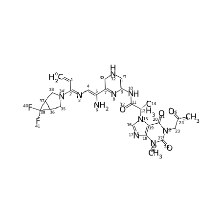 C=C/C(=N\C=C(/N)C1=NC(NC(=O)[C@H](C)n2cnc3c2c(=O)n(CC(C)=O)c(=O)n3C)=CNC1)N1CC2C(C1)C2(F)F